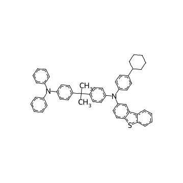 CC(C)(c1ccc(N(c2ccccc2)c2ccccc2)cc1)c1ccc(N(c2ccc(C3CCCCC3)cc2)c2ccc3sc4ccccc4c3c2)cc1